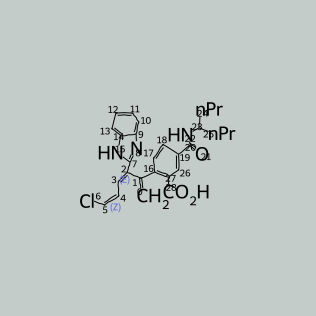 C=C(/C(=C\C=C/Cl)c1nc2ccccc2[nH]1)c1ccc(C(=O)NC(CCC)CCC)cc1C(=O)O